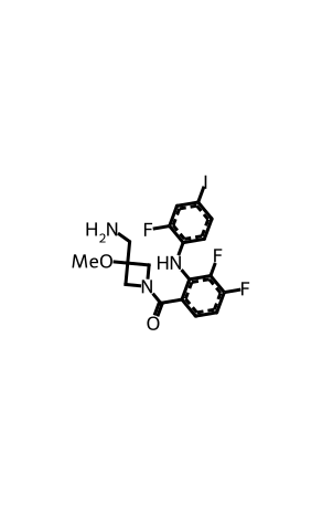 COC1(CN)CN(C(=O)c2ccc(F)c(F)c2Nc2ccc(I)cc2F)C1